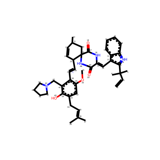 C=CC(C)(C)c1[nH]c2ccccc2c1C=C1NC(=O)C2(CC(C)C=CC2/C=C/c2c(OC)cc(CC=C(C)C)c(O)c2CN2CCCC2)NC1=O